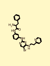 NC(Cc1ccccc1)C(=O)Nc1cccc(Nc2ncc(Br)c(NCCc3ccccn3)n2)c1